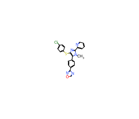 Cn1c(-c2ccccn2)nc(Sc2ccc(Cl)cc2)c1-c1ccc(-c2ncon2)cc1